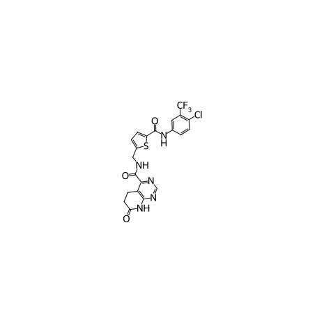 O=C1CCc2c(ncnc2C(=O)NCc2ccc(C(=O)Nc3ccc(Cl)c(C(F)(F)F)c3)s2)N1